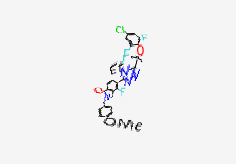 CCn1c(-c2ccc3c(c2F)CN(Cc2ccc(OC)cc2)C3=O)nnc1C(C)(C)Oc1c(F)cc(Cl)cc1F